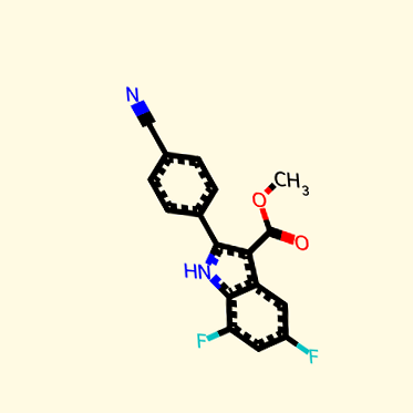 COC(=O)c1c(-c2ccc(C#N)cc2)[nH]c2c(F)cc(F)cc12